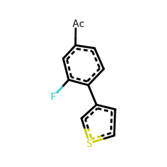 CC(=O)c1ccc(-c2ccsc2)c(F)c1